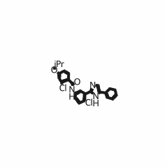 CC(C)Oc1ccc(C(=O)Nc2ccc(Cl)c(-c3ncc(C4=CC=CCC4)[nH]3)c2)c(Cl)c1